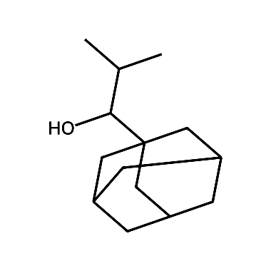 CC(C)C(O)C12CC3CC(CC(C3)C1)C2